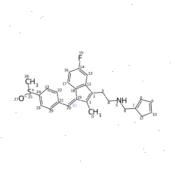 CC1=C(CCNCC2=CC=CC2)c2cc(F)ccc2/C1=C\c1ccc([S+](C)[O-])cc1